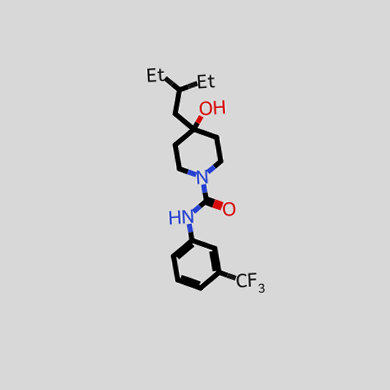 CCC(CC)CC1(O)CCN(C(=O)Nc2cccc(C(F)(F)F)c2)CC1